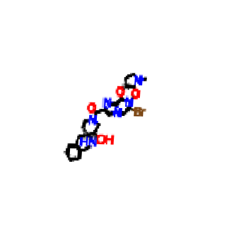 CN1CC[C@@H](Oc2nc(Br)cn3cc(C(=O)N4CC[C@]5(Cc6ccccc6CN5)[C@H](O)C4)nc23)C1=O